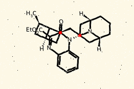 CCOC(=O)c1nc2ccccc2n([C@H]2C[C@H]3CCC[C@@H](C2)N3CC[C@H]2C[C@H]3C[C@@H](C)C23)c1=O